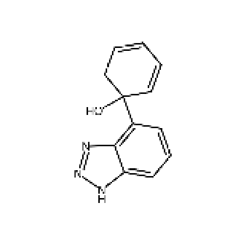 OC1(c2cccc3[nH]nnc23)C=CC=CC1